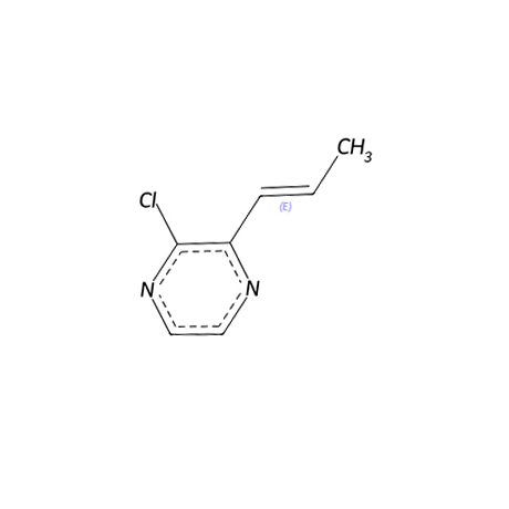 C/C=C/c1nccnc1Cl